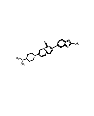 Cc1nc2ccc(C3=C\C(=O)N4C=C(N5CCC(N(C)C)CC5)C=C\C4=C/C=C/3)cc2o1